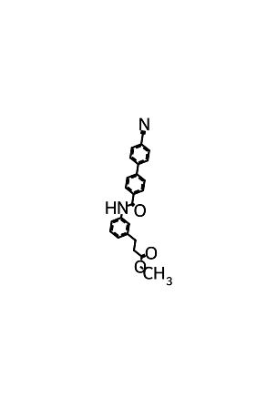 COC(=O)CCc1cccc(NC(=O)c2ccc(-c3ccc(C#N)cc3)cc2)c1